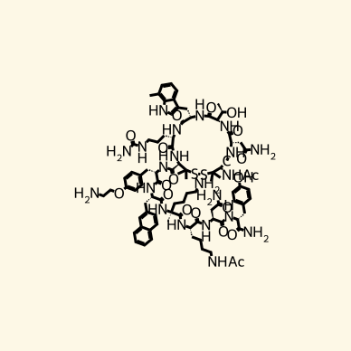 CC(=O)NCCCC[C@H](NC(=O)[C@](C)(CCCCN)NC(=O)[C@H](Cc1ccc2ccccc2c1)NC(=O)[C@H](Cc1ccc(OCCN)cc1)NC(=O)[C@H]1NC(=O)[C@H](CCCNC(N)=O)NC(=O)[C@H](Cc2c[nH]c3c(C)cccc23)NC(=O)[C@H]([C@@H](C)O)NC(=O)[C@H](CC(N)=O)NC[C@@H](NC(C)=O)C(C)(C)SSC1(C)C)C(=O)N[C@@H](CC(N)=O)C(=O)N[C@H](Cc1ccc(O)cc1)C(N)=O